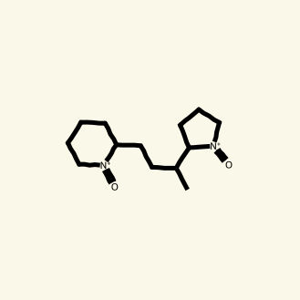 CC(CCC1CCCC[N+]1=O)C1CCC[N+]1=O